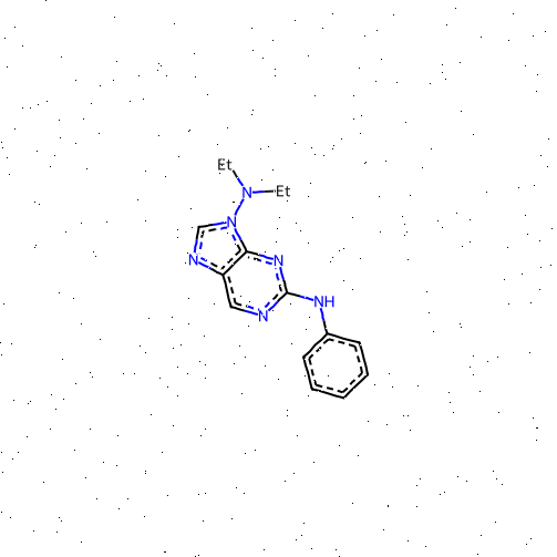 CCN(CC)n1cnc2cnc(Nc3ccccc3)nc21